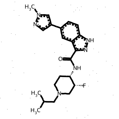 CC(C)CN1CC[C@H](NC(=O)c2n[nH]c3ccc(-c4cnn(C)c4)cc23)[C@H](F)C1